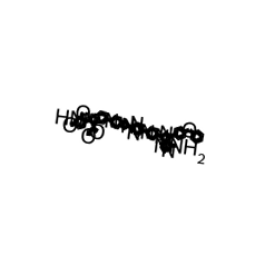 Nc1ncnc2c1c(-c1ccc(Oc3ccccc3)cc1)nn2C1CCN(c2cnc(N3CC4(CCN(c5ccc6c(c5)C(C(=O)C=O)N(C5CCC(=O)NC5=O)C6)CC4)C3)nc2)CC1